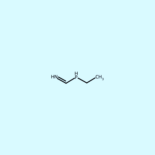 CCPC=N